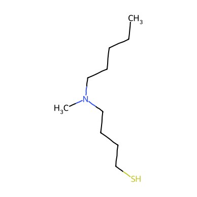 CCCCCN(C)CCCCS